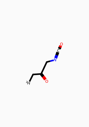 [2H]CC(=O)CN=C=O